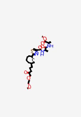 C=C(NC(=O)c1csc(C2CCCCC(CCCC(=O)COCCOC)CC2)n1)C(=O)NC(=C)C(=O)OC